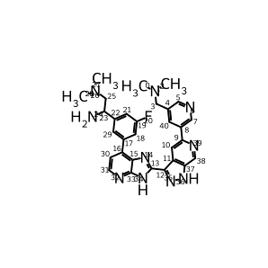 CN(C)Cc1cncc(-c2cc3c(-c4nc5c(-c6cc(F)cc(C(N)CN(C)C)c6)ccnc5[nH]4)n[nH]c3cn2)c1